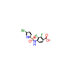 COC(=O)c1ccc(NS(=O)(=O)c2ccc(Br)cn2)c(F)c1F